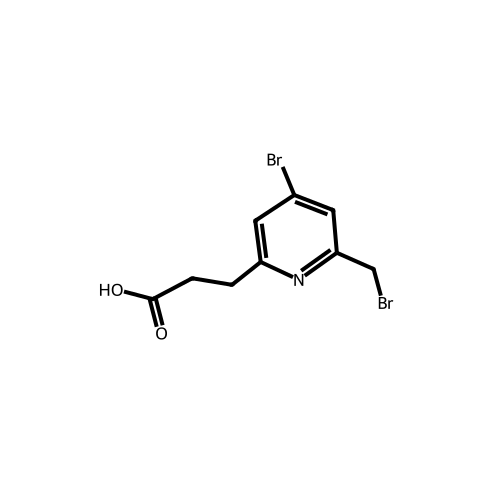 O=C(O)CCc1cc(Br)cc(CBr)n1